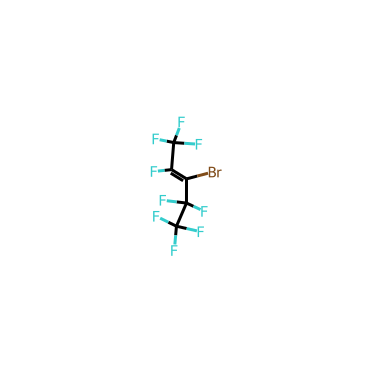 F/C(=C(/Br)C(F)(F)C(F)(F)F)C(F)(F)F